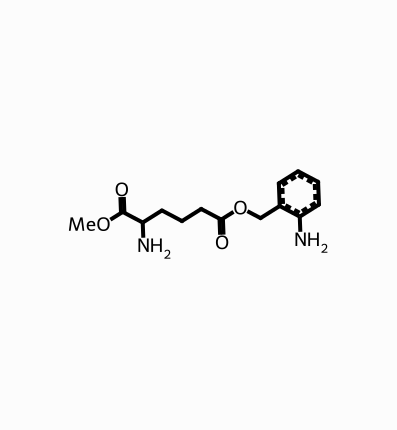 COC(=O)C(N)CCCC(=O)OCc1ccccc1N